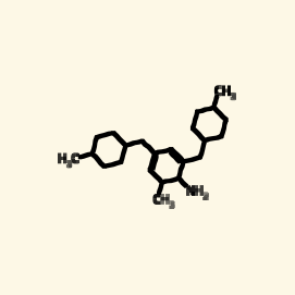 CC1CCC(CC2=CC(C)C(N)C(CC3CCC(C)CC3)=C2)CC1